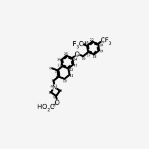 CC1=C(CN2CC(OC(=O)O)C2)CCc2cc(OCc3ccc(C(F)(F)F)cc3C(F)(F)F)ccc21